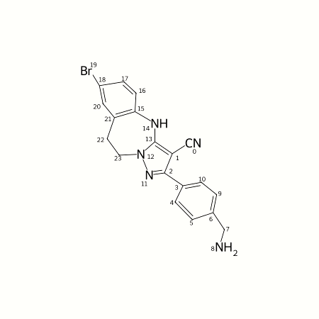 N#Cc1c(-c2ccc(CN)cc2)nn2c1Nc1ccc(Br)cc1CC2